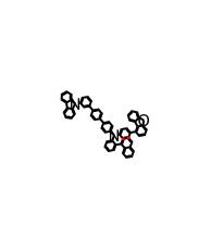 c1cc(-c2ccc(-c3ccc(N(c4ccc(-c5cccc6oc7ccccc7c56)cc4)c4ccccc4-c4cccc5ccccc45)cc3)cc2)cc(-n2c3ccccc3c3ccccc32)c1